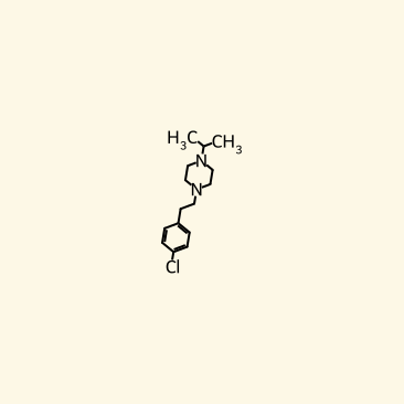 CC(C)N1CCN(CCc2ccc(Cl)cc2)CC1